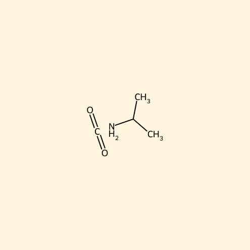 CC(C)N.O=C=O